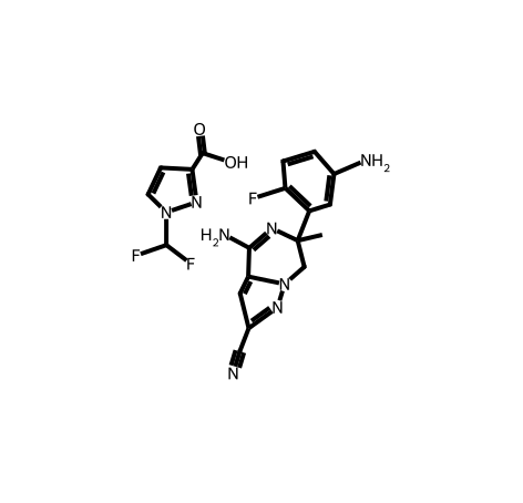 CC1(c2cc(N)ccc2F)Cn2nc(C#N)cc2C(N)=N1.O=C(O)c1ccn(C(F)F)n1